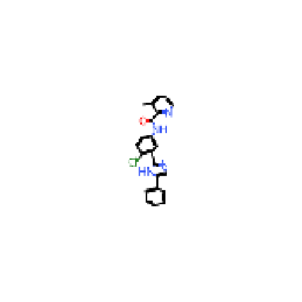 Cc1cccnc1C(=O)Nc1ccc(Cl)c(-c2ncc(-c3ccccc3)[nH]2)c1